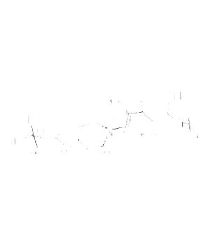 CC(C)c1ccc(N2CCN(CCC(F)(F)F)CC2)c(Cl)c1